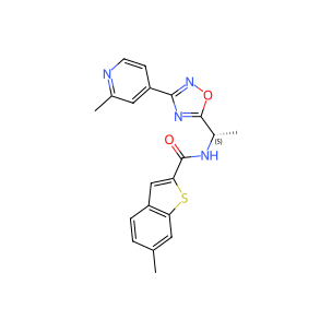 Cc1ccc2cc(C(=O)N[C@@H](C)c3nc(-c4ccnc(C)c4)no3)sc2c1